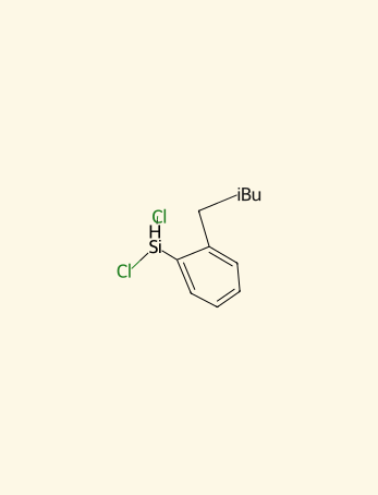 CCC(C)Cc1ccccc1[SiH](Cl)Cl